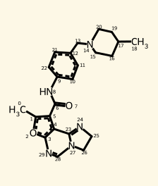 Cc1oc2c(c1C(=O)Nc1ccc(CN3CCC(C)CC3)cc1)C1=NCCN1C=N2